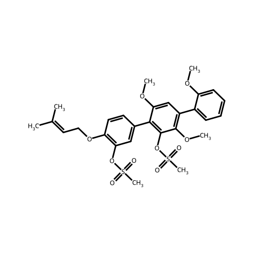 COc1ccccc1-c1cc(OC)c(-c2ccc(OCC=C(C)C)c(OS(C)(=O)=O)c2)c(OS(C)(=O)=O)c1OC